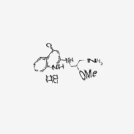 COC(CN)CNc1cc(=O)c2ccccc2[nH]1.Cl.Cl